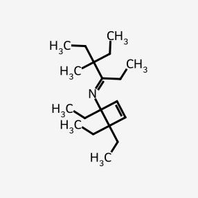 CCC(=NC1(CC)C=CC1(CC)CC)C(C)(CC)CC